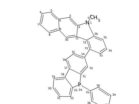 Cn1c2cc3ccccc3cc2c2c(-c3ccc4c5ccccc5p(-c5ccccc5)c4c3)cccc21